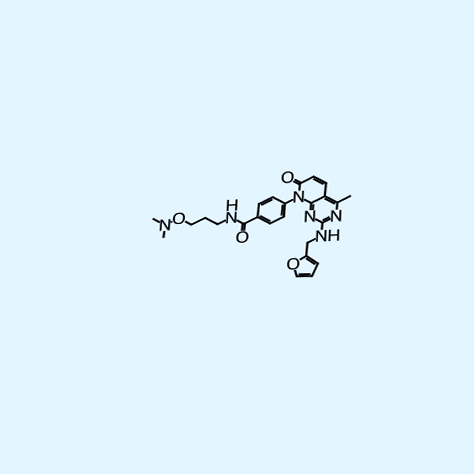 Cc1nc(NCc2ccco2)nc2c1ccc(=O)n2-c1ccc(C(=O)NCCCON(C)C)cc1